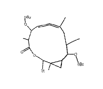 CCCCOC1C=C=C(C)CC(C)C(OCCCC)C2CC2(C)C(CC)OC(=O)C1C